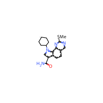 CSc1ncc2ccc3c(C(N)=O)cn(C4CC[CH]CC4)c3c2n1